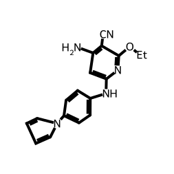 CCOc1nc(Nc2ccc(-n3cccc3)cc2)cc(N)c1C#N